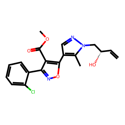 C=C[C@H](O)Cn1ncc(-c2onc(-c3ccccc3Cl)c2C(=O)OC)c1C